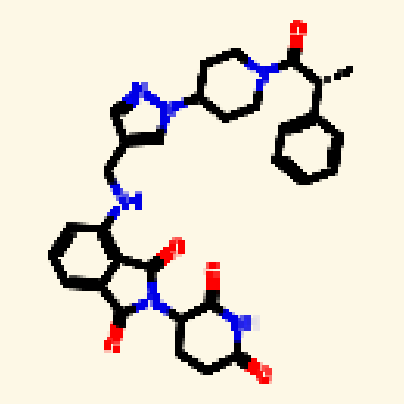 C[C@@H](C(=O)N1CCC(n2cc(CNc3cccc4c3C(=O)N(C3CCC(=O)NC3=O)C4=O)cn2)CC1)c1ccccc1